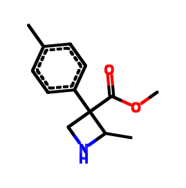 COC(=O)C1(c2ccc(C)cc2)CNC1C